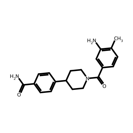 Cc1ccc(C(=O)N2CCC(c3ccc(C(N)=O)cc3)CC2)cc1N